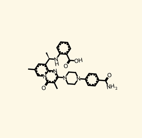 Cc1cc([C@@H](C)Nc2ccccc2C(=O)O)c2nc(N3CCN(c4ccc(C(N)=O)cc4)CC3)c(C)c(=O)n2c1